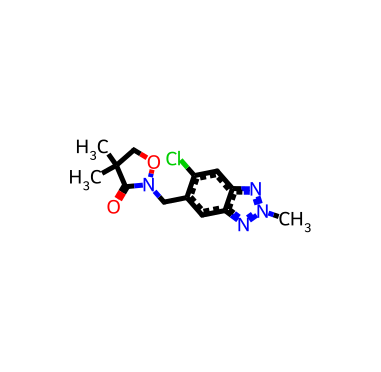 Cn1nc2cc(Cl)c(CN3OCC(C)(C)C3=O)cc2n1